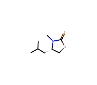 CC(C)C[C@H]1COC(=S)N1C